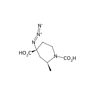 C[C@H]1C[C@@](N=[N+]=[N-])(C(=O)O)CCN1C(=O)O